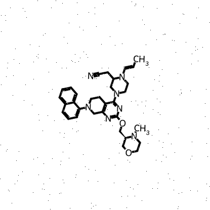 CC=CN1CCN(c2nc(OC[C@@H]3COCCN3C)nc3c2CCN(c2cccc4ccccc24)C3)CC1CC#N